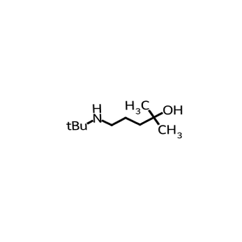 CC(C)(O)CCCNC(C)(C)C